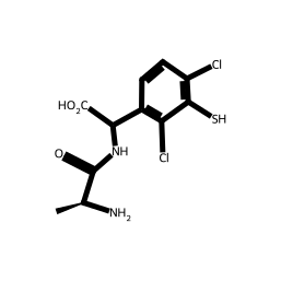 C[C@H](N)C(=O)NC(C(=O)O)c1ccc(Cl)c(S)c1Cl